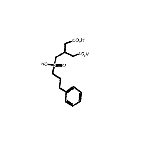 O=C(O)CC(CC(=O)O)CP(=O)(O)CCCc1ccccc1